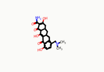 CN(C)Cc1ccc(O)c2c1CC1CC3CC(O)=C(C(N)=O)C(=O)C3C(O)=C1C2=O